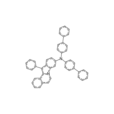 c1ccc(-c2ccc(N(c3ccc(-c4ccccc4)cc3)c3ccc4c(-c5ccccc5)c5c6ccccc6ccn5c4c3)cc2)cc1